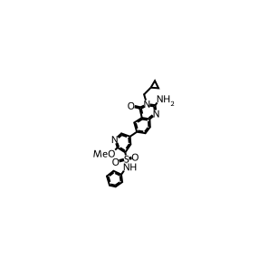 COc1ncc(-c2ccc3nc(N)n(CC4CC4)c(=O)c3c2)cc1S(=O)(=O)Nc1ccccc1